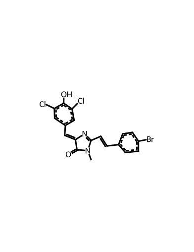 CN1C(=O)/C(=C/c2cc(Cl)c(O)c(Cl)c2)N=C1/C=C/c1ccc(Br)cc1